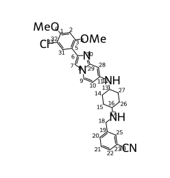 COc1cc(OC)c(-c2cn3ccc(NC4CCC(NCc5cccc(C#N)c5)CC4)cc3n2)cc1Cl